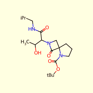 CC(C)CNC(=O)C(C(C)O)N1CC2(CCCN2C(=O)OC(C)(C)C)C1=O